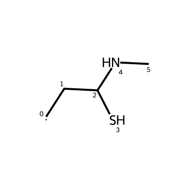 [CH2]CC(S)NC